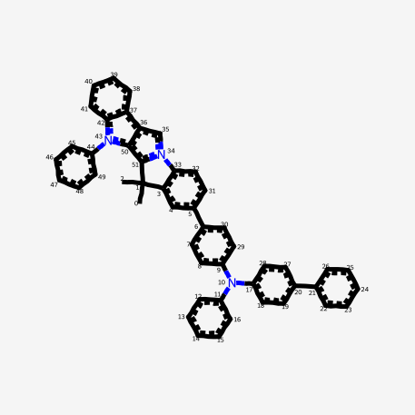 CC1(C)c2cc(-c3ccc(N(c4ccccc4)c4ccc(-c5ccccc5)cc4)cc3)ccc2-n2cc3c4ccccc4n(-c4ccccc4)c3c21